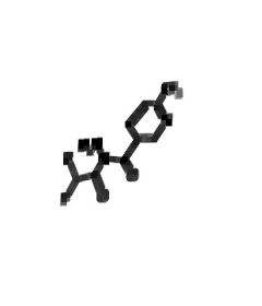 NN(C(=O)c1ccc(C(F)(F)F)nc1)C(=O)C(F)F